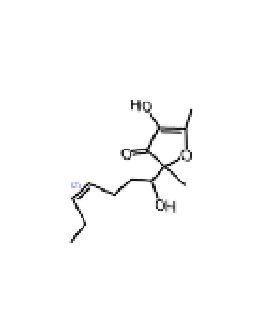 CC/C=C\CCC(O)C1(C)OC(C)=C(O)C1=O